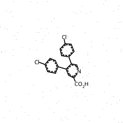 O=C(O)c1cc(-c2ccc(Cl)cc2)c(-c2ccc(Cl)cc2)cn1